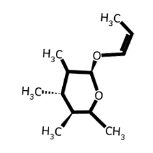 C/C=C\O[C@H]1OC(C)[C@@H](C)[C@H](C)C1C